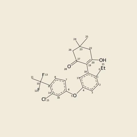 CCc1ccc(Oc2ccc(C(C)(F)F)c(Cl)c2)cc1C1=C(O)CC(C)(C)CC1=O